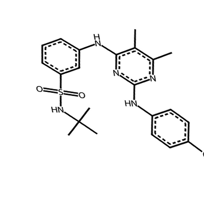 COc1ccc(Nc2nc(C)c(C)c(Nc3cccc(S(=O)(=O)NC(C)(C)C)c3)n2)cc1